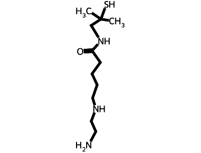 CC(C)(S)CNC(=O)CCCCNCCN